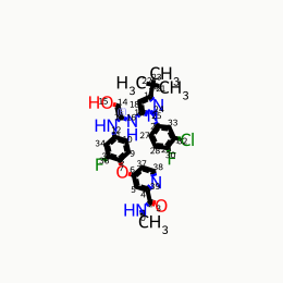 CNC(=O)c1cc(Oc2ccc(N/C(=C\O)Nc3cc(C(C)(C)C)nn3-c3ccc(F)c(Cl)c3)cc2F)ccn1